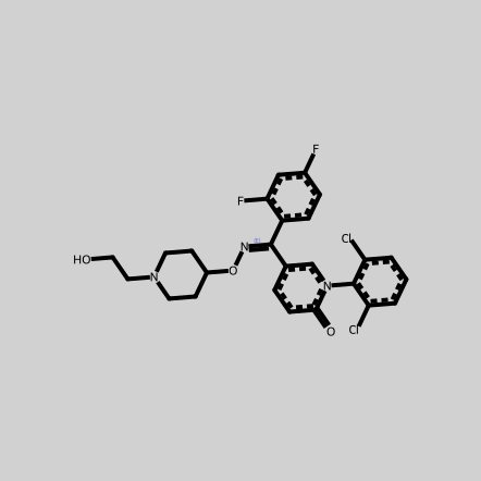 O=c1ccc(/C(=N\OC2CCN(CCO)CC2)c2ccc(F)cc2F)cn1-c1c(Cl)cccc1Cl